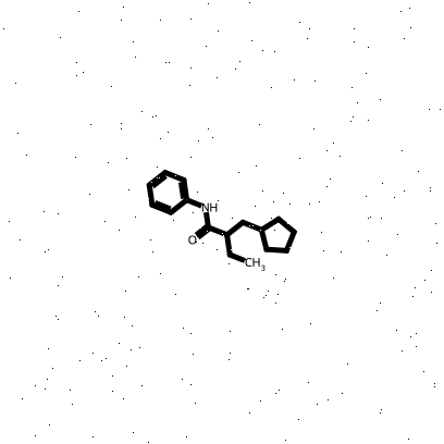 CCC(CC1CCCC1)C(=O)Nc1ccccc1